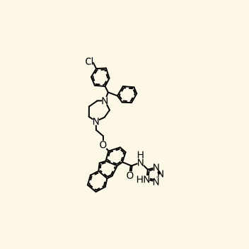 O=C(Nc1nnn[nH]1)c1ccc(OCCN2CCCN(C(c3ccccc3)c3ccc(Cl)cc3)CC2)c2cc3ccccc3cc12